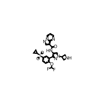 O=C(Nc1cn(C2CNC2)nc1-c1cc(S(=O)(=O)C2CC2)ccc1OC(F)F)c1cnn2cccnc12